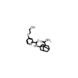 NC(=O)C12CC3CC(CC(NC(=O)c4cc(OCCO)ccn4)(C3)C1)C2